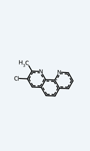 Cc1nc2c(ccc3cccnc32)cc1Cl